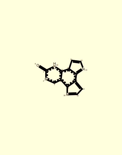 O=c1ncc2c3c(c4c(c2[nH]1)C=CN=4)=CC=N3